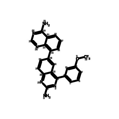 Nc1nc(-c2cccc(OC(F)(F)F)c2)c2cc(-c3cccc4c(N)ncnc34)ccc2n1